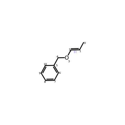 C/C=[C]/OCc1ccccc1